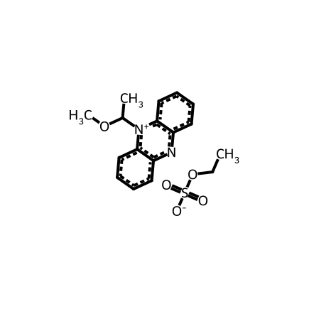 CCOS(=O)(=O)[O-].COC(C)[n+]1c2ccccc2nc2ccccc21